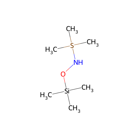 C[Si](C)(C)ONS(C)(C)C